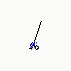 CCCCCCCCCCCCCCC[n+]1ccn(C(C)C)c1-c1ccccc1